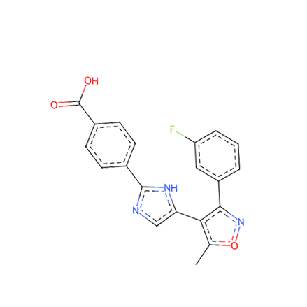 Cc1onc(-c2cccc(F)c2)c1-c1cnc(-c2ccc(C(=O)O)cc2)[nH]1